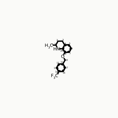 CC1CCc2cccc(OCc3ccc(C(F)(F)F)cc3)c2N1